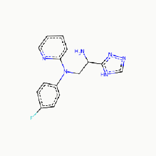 NC(CN(c1ccc(F)cc1)c1ccccn1)c1nnc[nH]1